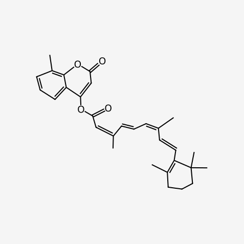 CC(C=CC1=C(C)CCCC1(C)C)=CC=CC(C)=CC(=O)Oc1cc(=O)oc2c(C)cccc12